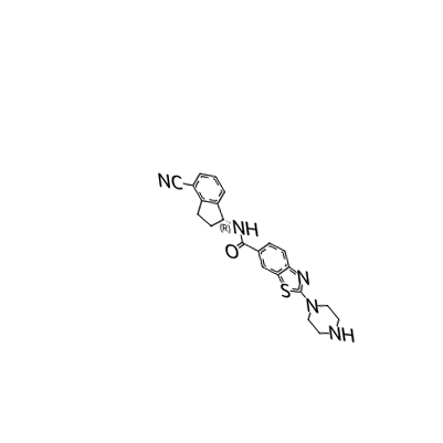 N#Cc1cccc2c1CC[C@H]2NC(=O)c1ccc2nc(N3CCNCC3)sc2c1